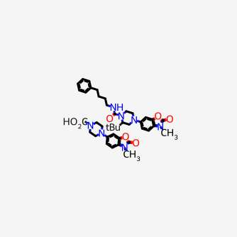 Cn1c(=O)oc2cc(N3CCN(C(=O)NCCCCc4ccccc4)C(C(C)(C)C)C3)ccc21.Cn1c(=O)oc2cc(N3CCN(C(=O)O)CC3)ccc21